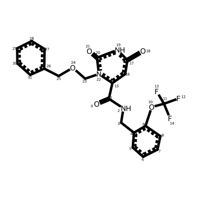 O=C(NCc1ccccc1OC(F)(F)F)c1cc(=O)[nH]c(=O)n1COCc1ccccc1